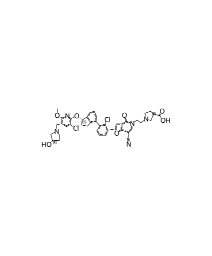 COc1nc(O[C@H]2CCc3c(-c4cccc(-c5cc6c(=O)n(CCN7CC[C@@H](C(=O)O)C7)cc(C#N)c6o5)c4Cl)cccc32)c(Cl)cc1CN1CC[C@@H](O)C1